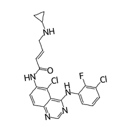 O=C(/C=C/CNC1CC1)Nc1ccc2ncnc(Nc3cccc(Cl)c3F)c2c1Cl